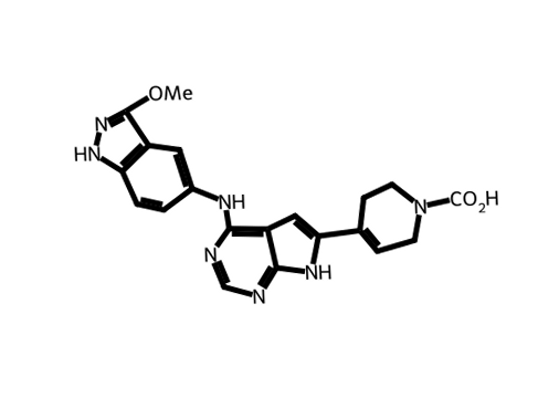 COc1n[nH]c2ccc(Nc3ncnc4[nH]c(C5=CCN(C(=O)O)CC5)cc34)cc12